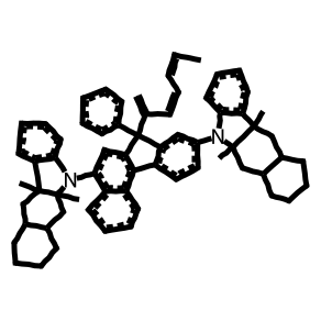 C=C(/C=C\C=C/C)C1(c2ccccc2)c2cc(N3c4ccccc4C4(C)CC5CCCCC5CC34C)ccc2-c2c1cc(N1c3ccccc3C3(C)CC4CCCCC4CC13C)c1ccccc21